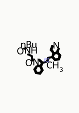 CCCCC(=O)NCCC(=O)n1cc(/C(C)=C/c2cccc3cnccc23)c2ccccc21